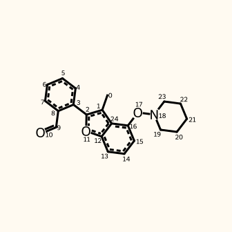 Cc1c(-c2ccccc2C=O)oc2cccc(ON3CCCCC3)c12